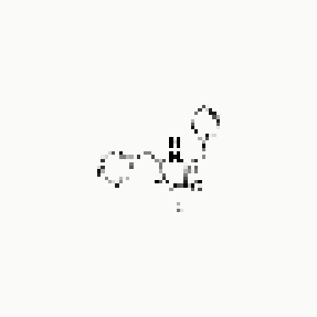 NC(=O)[C@H](Cc1ccccc1)NC(=O)Cc1ccccc1